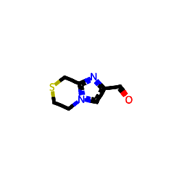 O=Cc1cn2c(n1)CSCC2